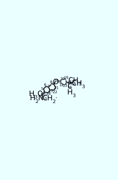 [CH2][C@](C)(N)c1ccc2cc(OC3CCC(C(C)(C)C)CC3)ccc2c1